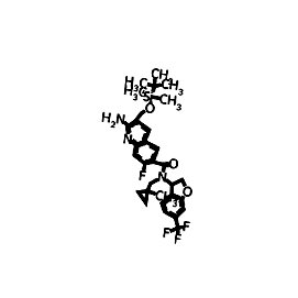 CC1(CN(C(=O)c2cc3cc(CO[Si](C)(C)C(C)(C)C)c(N)nc3cc2F)C2COc3cc(C(F)(F)F)ccc32)CC1